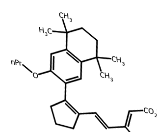 CCCOc1cc2c(cc1C1=C(C=CC(C)=CC(=O)OCC)CCC1)C(C)(C)CCC2(C)C